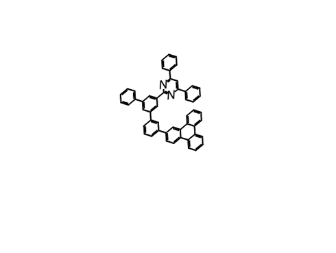 c1ccc(-c2cc(-c3cccc(-c4ccc5c6ccccc6c6ccccc6c5c4)c3)cc(-c3nc(-c4ccccc4)cc(-c4ccccc4)n3)c2)cc1